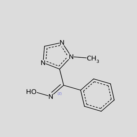 Cn1ncnc1/C(=N\O)c1ccccc1